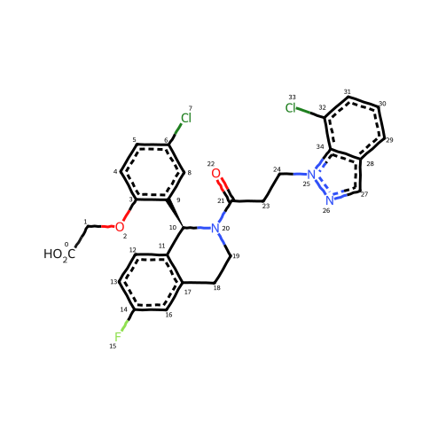 O=C(O)COc1ccc(Cl)cc1[C@@H]1c2ccc(F)cc2CCN1C(=O)CCn1ncc2cccc(Cl)c21